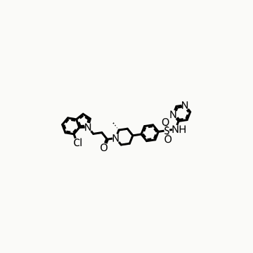 C[C@@H]1CC(c2ccc(S(=O)(=O)Nc3ccncn3)cc2)CCN1C(=O)CCn1ccc2cccc(Cl)c21